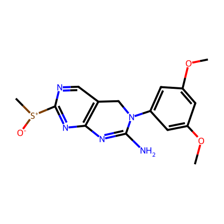 COc1cc(OC)cc(N2Cc3cnc([S+](C)[O-])nc3N=C2N)c1